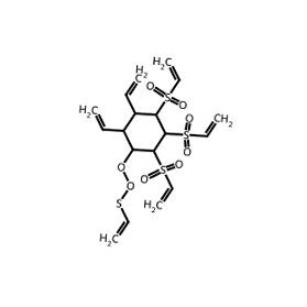 C=CSOOC1C(C=C)C(C=C)C(S(=O)(=O)C=C)C(S(=O)(=O)C=C)C1S(=O)(=O)C=C